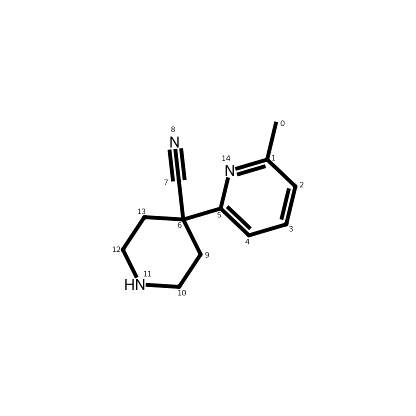 Cc1cccc(C2(C#N)CCNCC2)n1